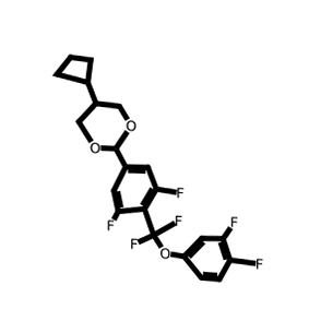 Fc1ccc(OC(F)(F)c2c(F)cc(C3OCC(C4CCC4)CO3)cc2F)cc1F